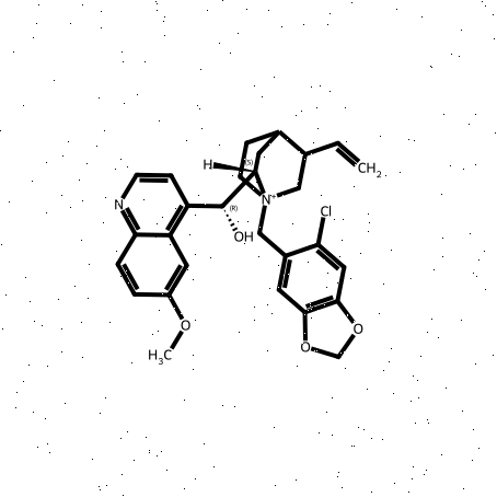 C=CC1C[N+]2(Cc3cc4c(cc3Cl)OCO4)CCC1C[C@H]2[C@H](O)c1ccnc2ccc(OC)cc12